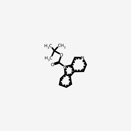 CC(C)(C)OC(=O)n1c2ccccc2c2ccncc21